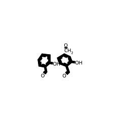 C=O.O=Cc1ccccc1O.O=Cc1ccccc1O